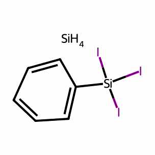 I[Si](I)(I)c1ccccc1.[SiH4]